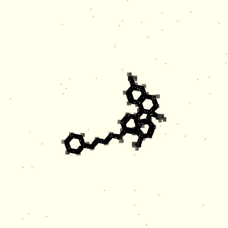 CC1(c2ccc(O)cc2)COc2cc(O)ccc2C1c1ccc(OCCCCN2CCCCC2)cc1